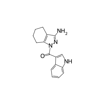 Nc1nn(C(=O)c2c[nH]c3ccccc23)c2c1CCCC2